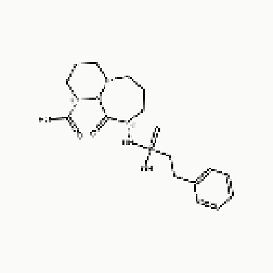 O=C(O)[C@@H]1CCCN2CCC[C@H](NP(=O)(O)CCc3ccccc3)C(=O)N12